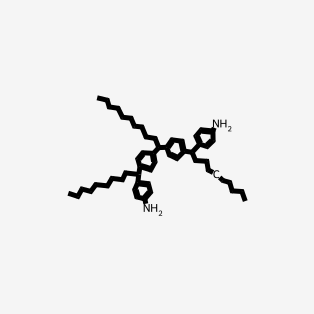 CCCCCCCCCCC(c1ccc(C(CCCCCCCCC)c2ccc(N)cc2)cc1)c1ccc(C(CCCCCCCCC)c2ccc(N)cc2)cc1